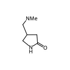 CNCC1CNC(=O)C1